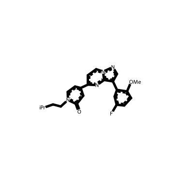 COc1ccc(F)cc1-c1cnn2ccc(-c3ccn(CCC(C)C)c(=O)c3)nc12